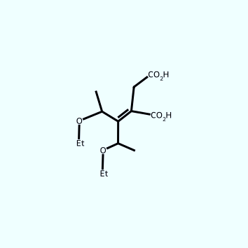 CCOC(C)C(=C(CC(=O)O)C(=O)O)C(C)OCC